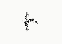 C=CC(=O)N1CC[C@]2(C1)C[C@H](n1c(NC(=O)c3ccc(-c4cnco4)s3)nc3ccc(CN4CCOCC4)cc31)C2